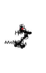 CN[C@@H](C)C(=O)N[C@H](C(=O)N1C[C@@H](NC(=O)CCOCCC(=O)N2CC([C@@H](c3ccccc3)n3cc(NC(=O)c4n[nH]c5c4C[C@@H]4C(F)(F)[C@]4(C)C5)cn3)C2)C[C@H]1C(=O)NC1CCCc2ccccc21)C1CCCCC1